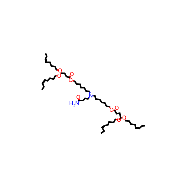 CC/C=C\CCCCOC(CCC(=O)OCCCCCCCN(CCCCCCCOC(=O)CCC(OCCCC/C=C\CC)OCCCC/C=C\CC)CCCC(N)=O)OCCCC/C=C\CC